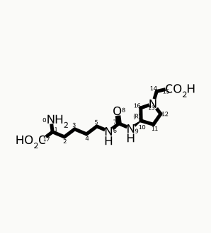 NC(CCCCNC(=O)N[C@@H]1CCN(CC(=O)O)C1)C(=O)O